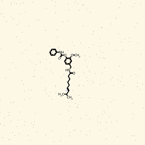 COc1cc(CNC(=O)CCCC/C=C/C(C)C)ccc1OC(=O)Nc1ccccc1